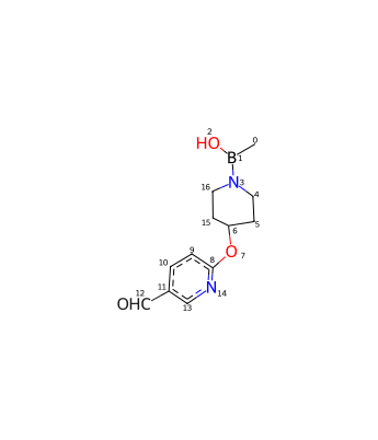 CB(O)N1CCC(Oc2ccc(C=O)cn2)CC1